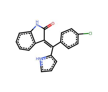 O=C1Nc2ccccc2C1=C(c1ccc(Cl)cc1)c1ccc[nH]1